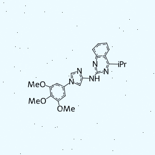 COc1cc(-n2cnc(Nc3nc(C(C)C)c4ccccc4n3)c2)cc(OC)c1OC